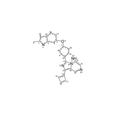 Cc1nc2cc(Oc3ccc(C4=NC(C5=CC=C5)=C5C=NC=C[N+]45N)cc3)ccc2s1